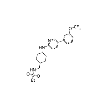 CCS(=O)(=O)NC[C@H]1CC[C@H](Nc2ccc(-c3cccc(OC(F)(F)F)c3)cn2)CC1